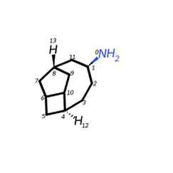 N[C@H]1CC[C@H]2CC3C[C@@H](CC32)C1